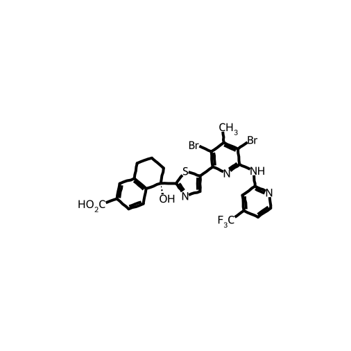 Cc1c(Br)c(Nc2cc(C(F)(F)F)ccn2)nc(-c2cnc([C@]3(O)CCCc4cc(C(=O)O)ccc43)s2)c1Br